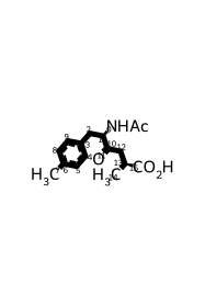 CC(=O)N[C@H](Cc1ccc(C)cc1)C(=O)C[C@H](C)C(=O)O